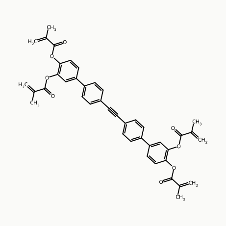 C=C(C)C(=O)Oc1ccc(-c2ccc(C#Cc3ccc(-c4ccc(OC(=O)C(=C)C)c(OC(=O)C(=C)C)c4)cc3)cc2)cc1OC(=O)C(=C)C